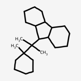 CC1(C(C)(C)C2C3CCCCC3C3CCCCC32)CCCCC1